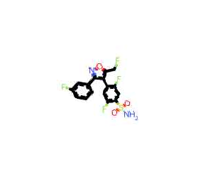 NS(=O)(=O)c1cc(F)c(-c2c(-c3cccc(F)c3)noc2CF)cc1F